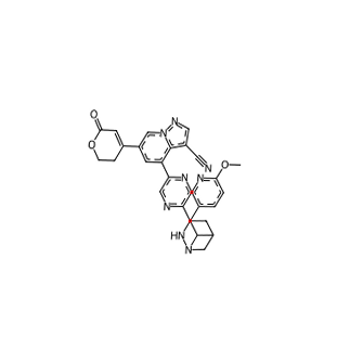 COc1ccc(CC2C3CC(c4cnc(-c5cc(C6=CC(=O)OCC6)cn6ncc(C#N)c56)cn4)NN2C3)cn1